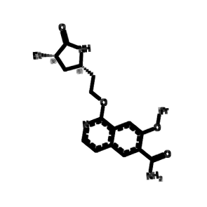 CC[C@H]1C[C@@H](CCOc2nccc3cc(C(N)=O)c(OC(C)C)cc23)NC1=O